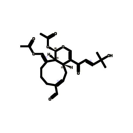 CC(=O)O/C=C1\CCC/C(C=O)=C\C[C@@H]2C(C(=O)/C=C/C(C)(C)O)=CO[C@H](OC(C)=O)[C@@H]12